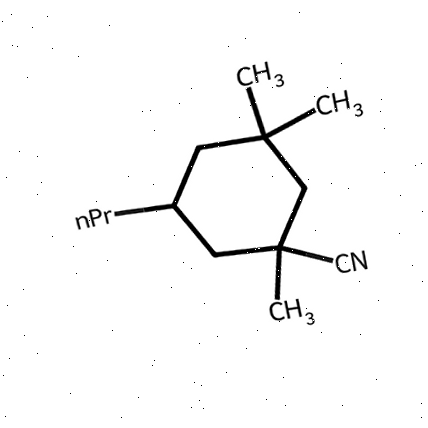 CCCC1CC(C)(C)CC(C)(C#N)C1